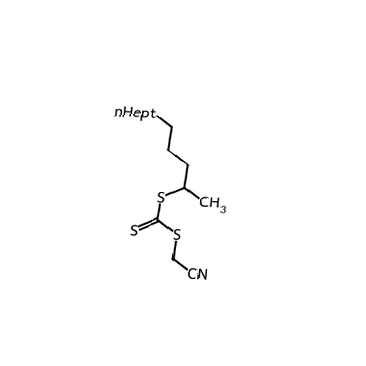 CCCCCCCCCCC(C)SC(=S)SCC#N